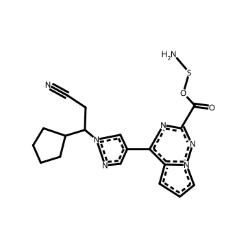 N#CCC(C1CCCC1)n1cc(-c2nc(C(=O)OSN)nn3cccc23)cn1